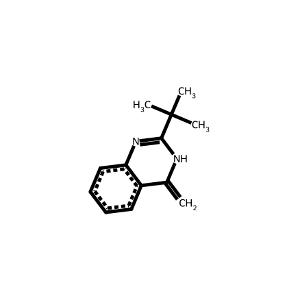 C=C1NC(C(C)(C)C)=Nc2ccccc21